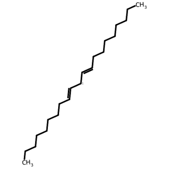 CCCCCCCCC=C[C]C=CCCCCCCCC